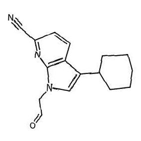 N#Cc1ccc2c(C3CCCCC3)cn(CC=O)c2n1